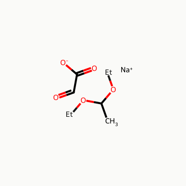 CCOC(C)OCC.O=CC(=O)[O-].[Na+]